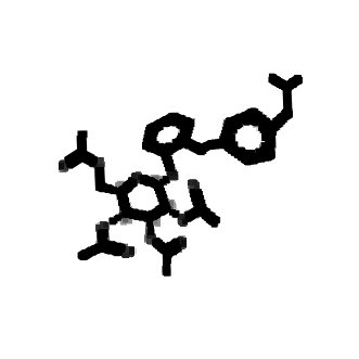 CC(=O)OC[C@H]1O[C@H](Oc2ccccc2Cc2ccc(CC(C)C)cc2)[C@H](OC(C)=O)[C@@H](OC(C)=O)[C@@H]1OC(C)=O